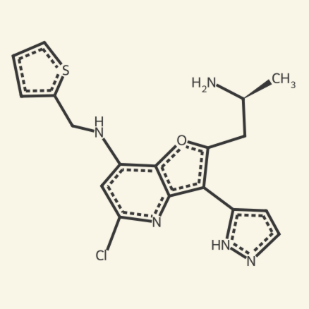 C[C@H](N)Cc1oc2c(NCc3cccs3)cc(Cl)nc2c1-c1ccn[nH]1